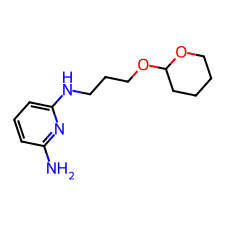 Nc1cccc(NCCCOC2CCCCO2)n1